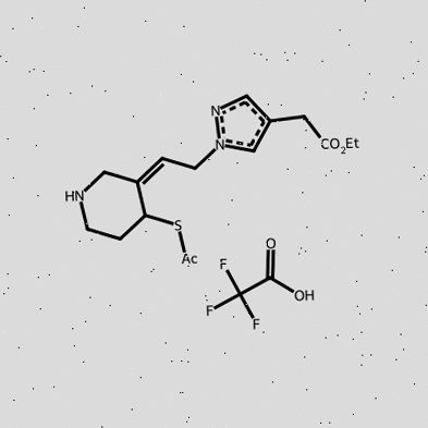 CCOC(=O)Cc1cnn(C/C=C2/CNCCC2SC(C)=O)c1.O=C(O)C(F)(F)F